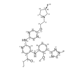 CCC(=O)c1cnc(Nc2cnc(OCCN3CC[C@@H](F)C3)cn2)cc1Nc1cccc(-c2ncn(C)n2)c1OC